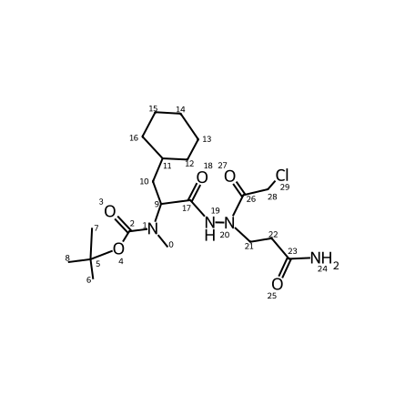 CN(C(=O)OC(C)(C)C)C(CC1CCCCC1)C(=O)NN(CCC(N)=O)C(=O)CCl